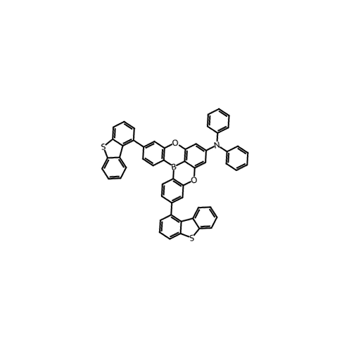 c1ccc(N(c2ccccc2)c2cc3c4c(c2)Oc2cc(-c5cccc6sc7ccccc7c56)ccc2B4c2ccc(-c4cccc5sc6ccccc6c45)cc2O3)cc1